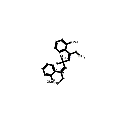 COc1ccccc1/C(=C\C(C)(N)/C=C(/CP)c1ccccc1OC)CP